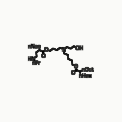 CCCCCCCCCC(CCNCCC)C(=O)OCCCCN(CCCO)CCCCCOC(=O)C(CCCCCC)CCCCCCCC